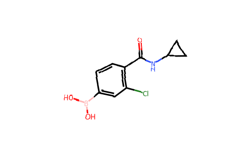 O=C(NC1CC1)c1ccc(B(O)O)cc1Cl